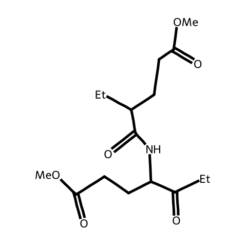 CCC(=O)C(CCC(=O)OC)NC(=O)C(CC)CCC(=O)OC